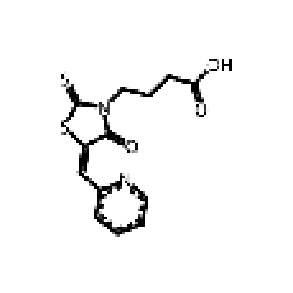 O=C(O)CCCN1C(=O)/C(=C\c2ccccn2)SC1=S